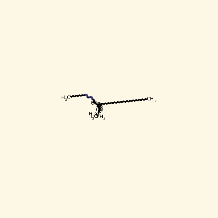 CCCCCCCCCCC\C=C/C=C\C=C/C=C/C(=O)OC[C@H](COP(=O)([O-])OCC[N+](C)(C)C)OC(=O)CCCCCCCCCCCCCCCCCCCCCCCCCCCCCCC